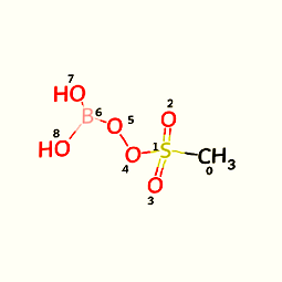 CS(=O)(=O)OOB(O)O